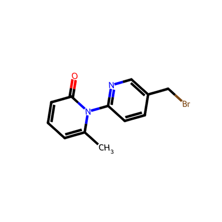 Cc1cccc(=O)n1-c1ccc(CBr)cn1